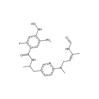 C/C(=C/CN(C)c1ccc(CC(C)NC(=O)c2cc(P)c(NO)cc2F)cn1)NC=O